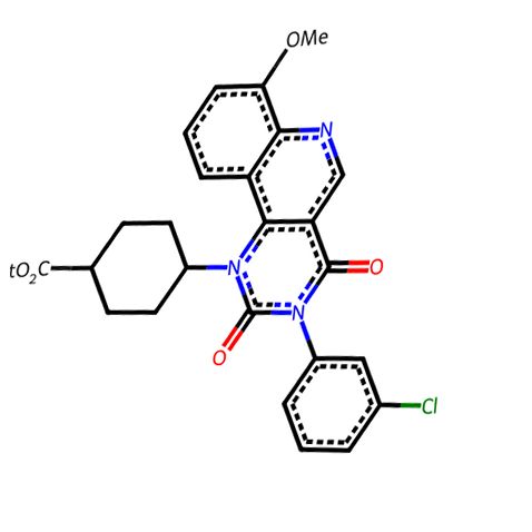 CCOC(=O)C1CCC(n2c(=O)n(-c3cccc(Cl)c3)c(=O)c3cnc4c(OC)cccc4c32)CC1